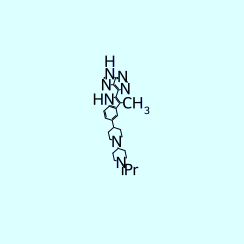 Cc1c(-c2ncnc3[nH]cnc23)[nH]c2ccc(C3CCN(C4CCN(C(C)C)CC4)CC3)cc12